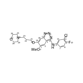 COc1cc2c(Nc3ccc(F)c(Cl)c3)nnnc2cc1OCCCN1CCOCC1